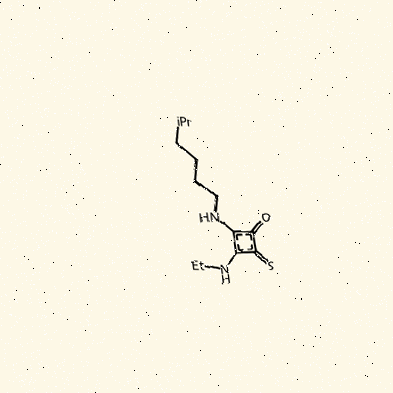 CCNc1c(NCCCCC(C)C)c(=O)c1=S